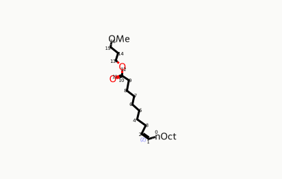 CCCCCCCC/C=C\CCCCCCCC(=O)OCCCOC